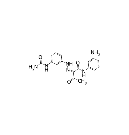 CC(=O)/C(=N/Nc1cccc(NC(N)=O)c1)C(=O)Nc1cccc(N)c1